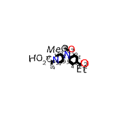 CCC(=O)c1ccc(N(C(=O)OC)C2CCN(C(C)C(=O)O)CC2)cc1